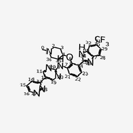 CN1CCC(Oc2c(Nc3ncc(-c4cccnn4)cn3)cccc2-c2nc3ccc(C(F)(F)F)cc3[nH]2)CC1